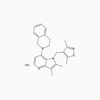 Cc1noc(C)c1Cn1c(C)c(C)c2nccc(N3CCc4ccccc4C3)c21.Cl